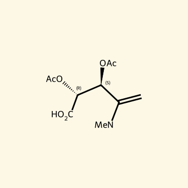 C=C(NC)[C@H](OC(C)=O)[C@@H](OC(C)=O)C(=O)O